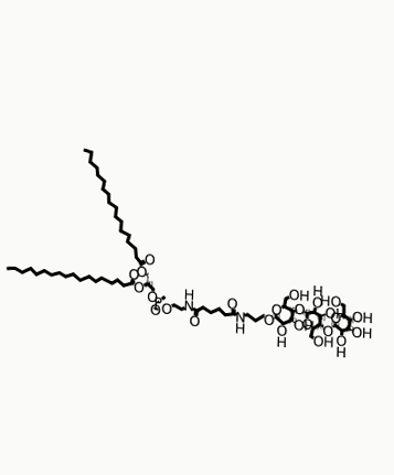 CCCCCCCCCCCCCCCCCC(=O)OC[C@H](COP(C)(=O)OCCNC(=O)CCCCC(=O)NCCCO[C@@H]1OC(CO)[C@@H](O[C@@H]2OC(CO)[C@H](O[C@H]3OC(CO)[C@H](O)[C@H](O)C3O)[C@H](O)C2O)[C@H](O)C1O)OC(=O)CCCCCCCCCCCCCCCCC